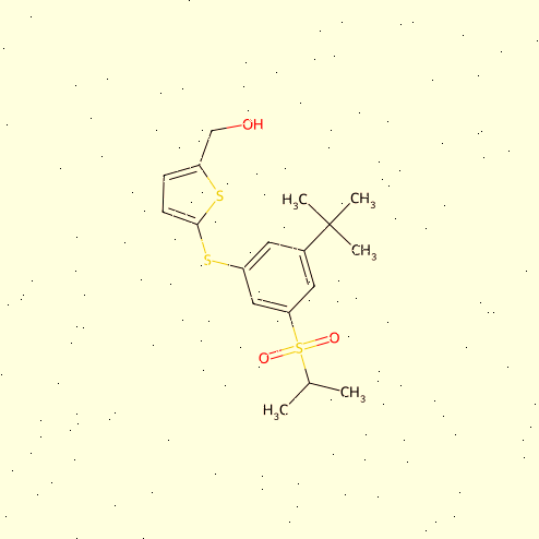 CC(C)S(=O)(=O)c1cc(Sc2ccc(CO)s2)cc(C(C)(C)C)c1